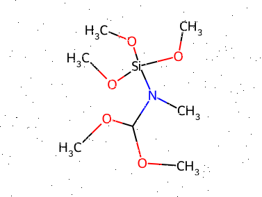 COC(OC)N(C)[Si](OC)(OC)OC